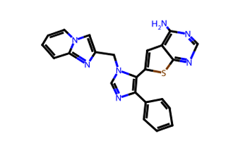 Nc1ncnc2sc(-c3c(-c4ccccc4)ncn3Cc3cn4ccccc4n3)cc12